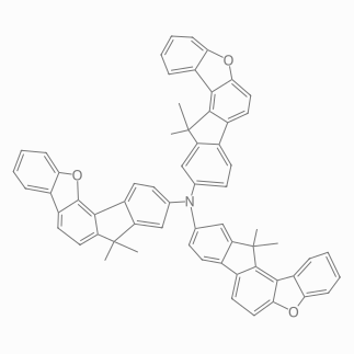 CC1(C)c2cc(N(c3ccc4c(c3)C(C)(C)c3c-4ccc4oc5ccccc5c34)c3ccc4c(c3)C(C)(C)c3c-4ccc4oc5ccccc5c34)ccc2-c2c1ccc1c2oc2ccccc21